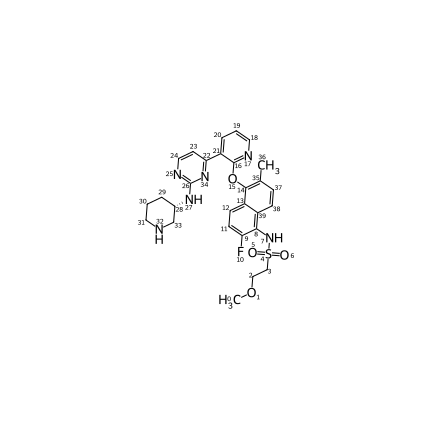 COCCS(=O)(=O)Nc1c(F)ccc2c(Oc3ncccc3-c3ccnc(N[C@H]4CCCNC4)n3)c(C)ccc12